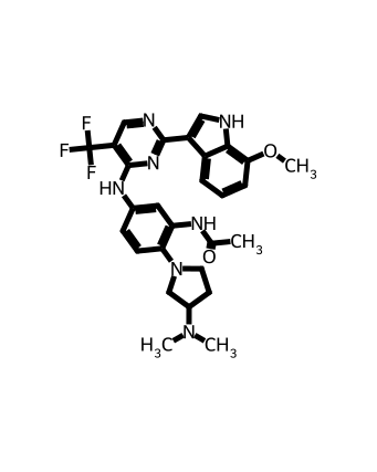 COc1cccc2c(-c3ncc(C(F)(F)F)c(Nc4ccc(N5CCC(N(C)C)C5)c(NC(C)=O)c4)n3)c[nH]c12